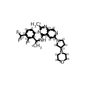 Cc1nc(NC(C)c2cccc(C(F)F)c2F)c2cc(N3CCC(N4CCOCC4)C3)ncc2n1